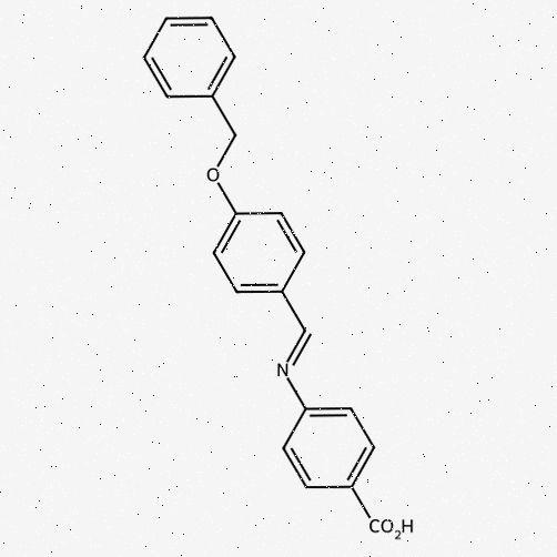 O=C(O)c1ccc(/N=C/c2ccc(OCc3ccccc3)cc2)cc1